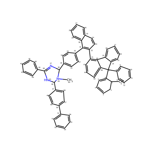 CC1CC=CC=C1C1(c2ccccc2)c2ccccc2-c2c(-c3ccc4ccccc4c3-c3ccc(C4N=C(c5ccccc5)NC(c5ccc(-c6ccccc6)cc5)N4C)cc3)cccc21